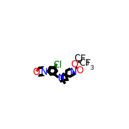 CC1(C)CC2(CCN(C(=O)OC(C(F)(F)F)C(F)(F)F)CC2)CN1Cc1cc(Cl)cc(N2CCOCC2)c1